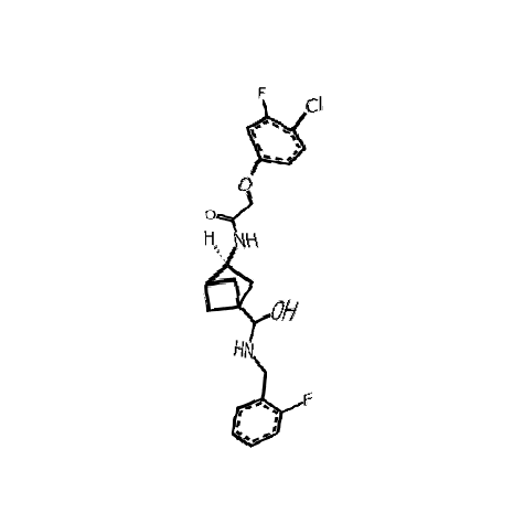 O=C(COc1ccc(Cl)c(F)c1)N[C@H]1CC2(C(O)NCc3ccccc3F)CC1C2